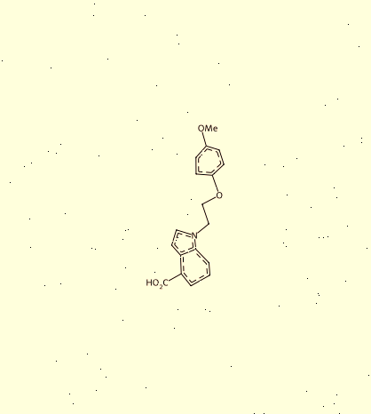 COc1ccc(OCCn2ccc3c(C(=O)O)cccc32)cc1